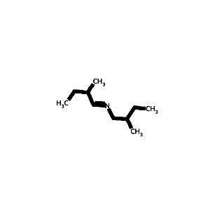 CCC(C)C=NCC(C)CC